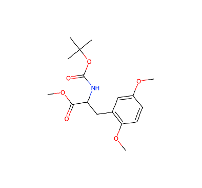 COC(=O)C(Cc1cc(OC)ccc1OC)NC(=O)OC(C)(C)C